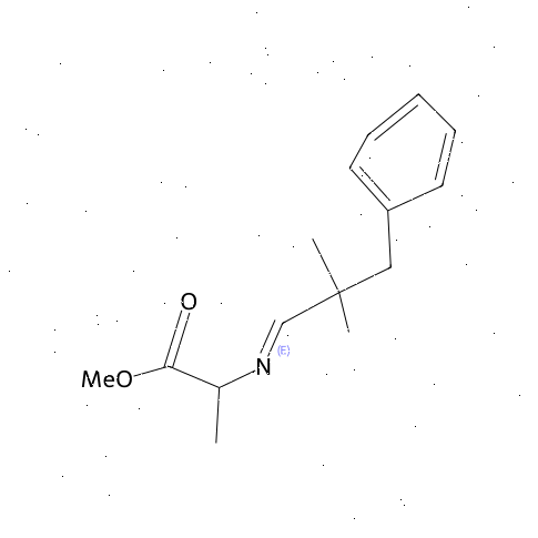 COC(=O)C(C)/N=C/C(C)(C)Cc1ccccc1